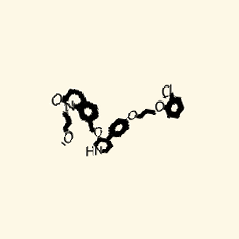 COCCCN1C(=O)CCc2ccc(COC3CNCCC3c3ccc(OCCCOc4ccccc4Cl)cc3)cc21